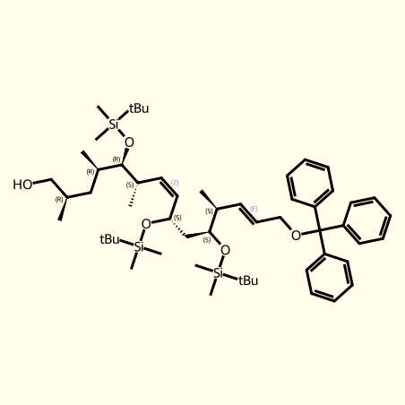 C[C@@H](CO)C[C@@H](C)[C@@H](O[Si](C)(C)C(C)(C)C)[C@@H](C)/C=C\[C@H](C[C@H](O[Si](C)(C)C(C)(C)C)[C@@H](C)/C=C/COC(c1ccccc1)(c1ccccc1)c1ccccc1)O[Si](C)(C)C(C)(C)C